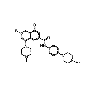 CC(=O)N1CCN(c2ccc(NC(=O)c3cc(=O)c4cc(F)cc(N5CCN(C)CC5)c4o3)cc2)CC1